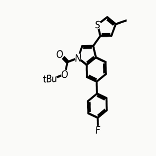 Cc1csc(-c2cn(C(=O)OC(C)(C)C)c3cc(-c4ccc(F)cc4)ccc23)c1